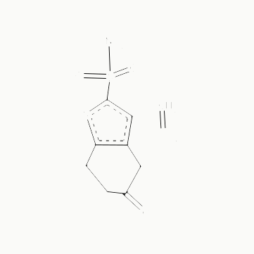 C=C.NS(=O)(=O)c1cc2c(s1)CCC(=O)C2